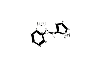 Cl.c1ccc(O[P]c2ccc[nH]2)cc1